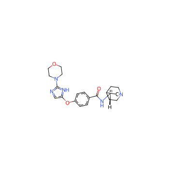 O=C(N[C@H]1CN2CCC1CC2)c1ccc(Oc2cnc(N3CCOCC3)[nH]2)cc1